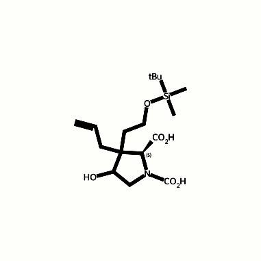 C=CCC1(CCO[Si](C)(C)C(C)(C)C)C(O)CN(C(=O)O)[C@@H]1C(=O)O